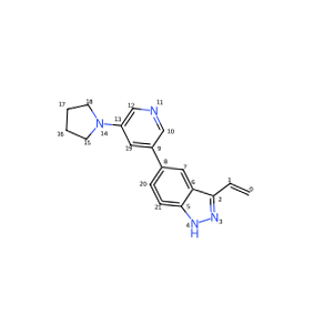 C=Cc1n[nH]c2c1=CC(c1cncc(N3CCCC3)c1)=C=C=2